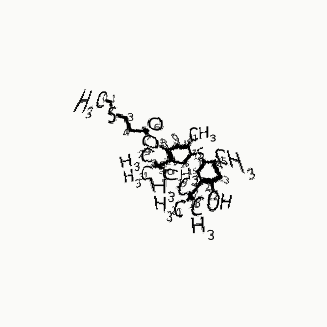 CCSCCC(=O)Oc1cc(C)c(Sc2cc(C(C)(C)C)c(O)cc2C)cc1C(C)(C)C